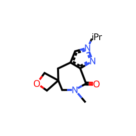 CC(C)n1cc2c(n1)C(=O)N(C)CC1(COC1)C2